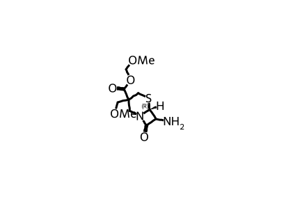 COCOC(=O)C1(COC)CS[C@@H]2C(N)C(=O)N2C1